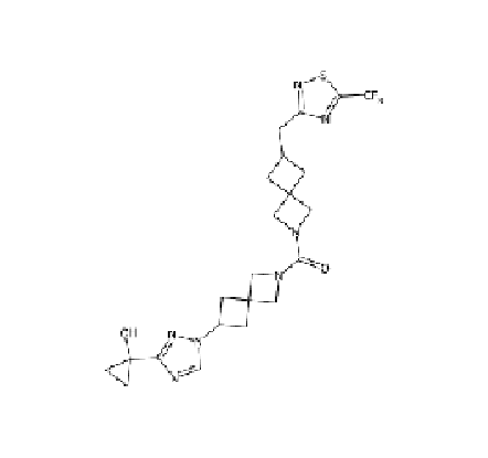 O=C(N1CC2(CC(Cc3nsc(C(F)(F)F)n3)C2)C1)N1CC2(CC(n3cnc(C4(O)CC4)n3)C2)C1